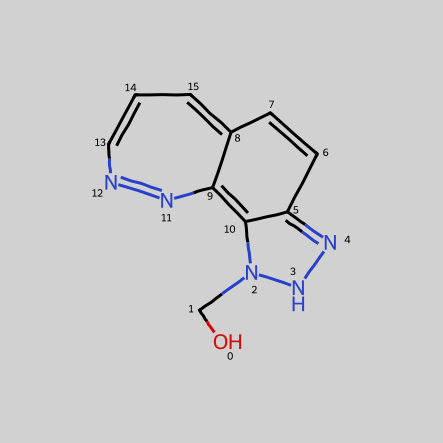 OCN1NN=c2ccc3c(c21)N=NC=CC=3